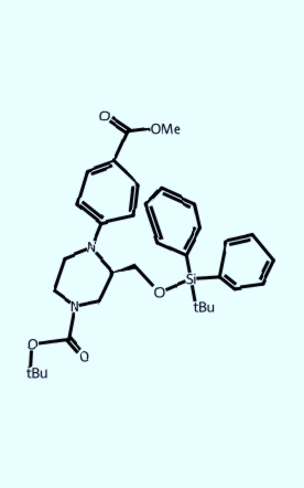 COC(=O)c1ccc(N2CCN(C(=O)OC(C)(C)C)C[C@@H]2CO[Si](c2ccccc2)(c2ccccc2)C(C)(C)C)cc1